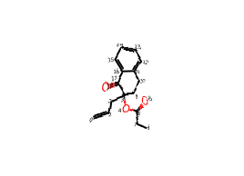 C=CCC1(OC(=O)CC)CCc2ccccc2C1=O